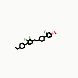 CCC1CC=C(c2ccc(CCC3CCC(c4ccc(OC)cc4F)CC3)c(F)c2F)CC1